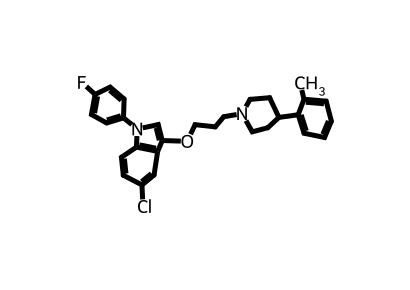 Cc1ccccc1C1CCN(CCCOc2cn(-c3ccc(F)cc3)c3ccc(Cl)cc23)CC1